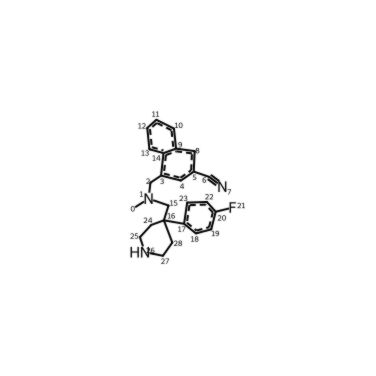 CN(Cc1cc(C#N)cc2ccccc12)CC1(c2ccc(F)cc2)CCNCC1